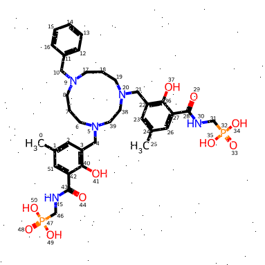 Cc1cc(CN2CCCN(Cc3ccccc3)CCCN(Cc3cc(C)cc(C(=O)NCP(=O)(O)O)c3O)CC2)c(O)c(C(=O)NCP(=O)(O)O)c1